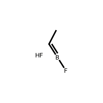 CC=BF.F